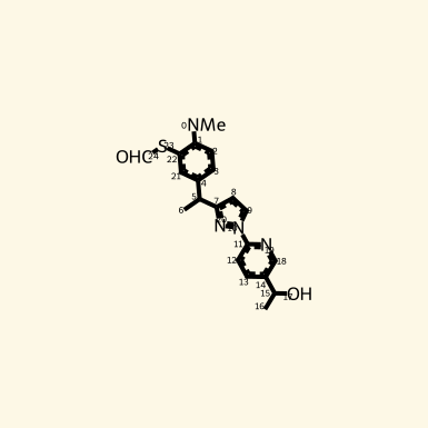 CNc1ccc(C(C)c2ccn(-c3ccc(C(C)O)cn3)n2)cc1SC=O